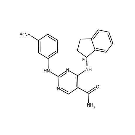 CC(=O)Nc1cccc(Nc2ncc(C(N)=O)c(N[C@@H]3CCc4ccccc43)n2)c1